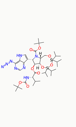 CC(C)[C@H](NC(=O)OC(C)(C)C)C(=O)O[C@@H]1[C@@H]2O[Si](C(C)C)(C(C)C)O[Si](C(C)C)(C(C)C)OC[C@H]2N(C(=O)OC(C)(C)C)[C@H]1c1c[nH]c2c(N=[N+]=[N-])ncnc12